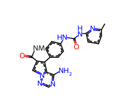 CNC(=O)c1cn2ncnc(N)c2c1-c1ccc(NC(=O)Nc2cccc(C)n2)cc1